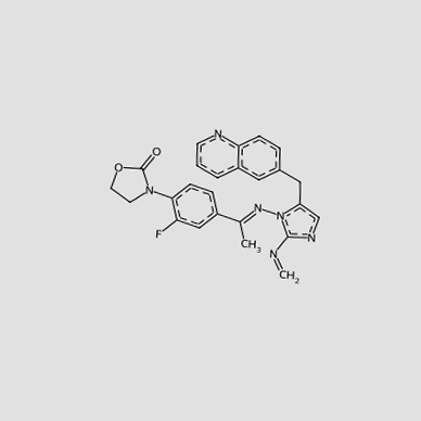 C=Nc1ncc(Cc2ccc3ncccc3c2)n1/N=C(\C)c1ccc(N2CCOC2=O)c(F)c1